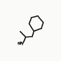 CCCC(C)C[C]1CCCCC1